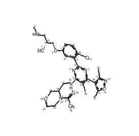 CNC[C@@H](O)COc1ccc(Cl)c(-c2nc(NCC3COCCN3C(=O)O)c(C)c(-c3c(C)noc3C)n2)c1